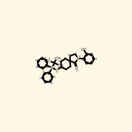 CC(C)(C)[Si](OC1CCC2(CC1)CCN(c1ccccc1Cl)C2=O)(c1ccccc1)c1ccccc1